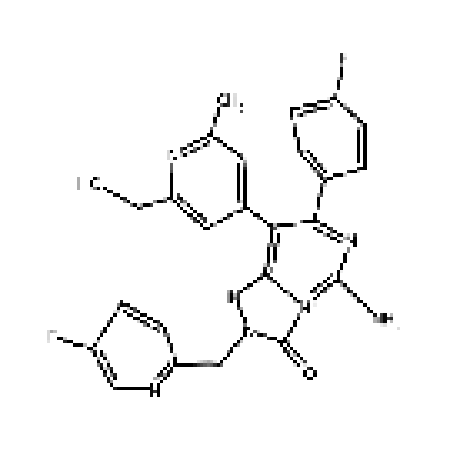 Cc1cc(-c2c(-c3ccc(F)cc3)nc(N)[n+]3c(=O)n(Cc4ccc(F)cn4)[nH]c23)cc(CO)n1